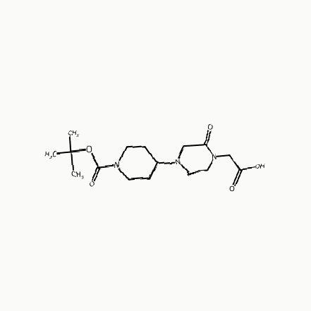 CC(C)(C)OC(=O)N1CCC(N2CCN(CC(=O)O)C(=O)C2)CC1